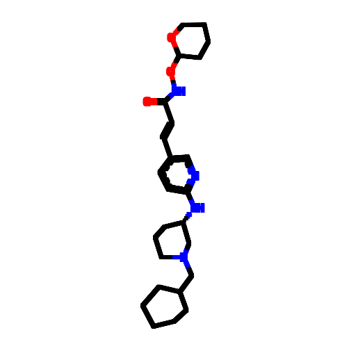 O=C(/C=C/c1ccc(N[C@H]2CCCN(CC3CCCCC3)C2)nc1)NOC1CCCCO1